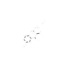 CCO[C@H]1C[C@H]2Oc3ccc(Br)cc3C(=O)C2=C(C)O1